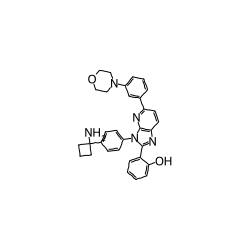 NC1(c2ccc(-n3c(-c4ccccc4O)nc4ccc(-c5cccc(N6CCOCC6)c5)nc43)cc2)CCC1